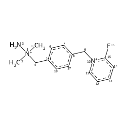 C[N+](C)(N)Cc1ccc(C[n+]2ccccc2F)cc1